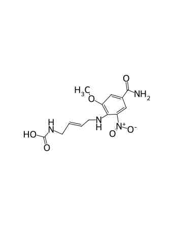 COc1cc(C(N)=O)cc([N+](=O)[O-])c1NCC=CCNC(=O)O